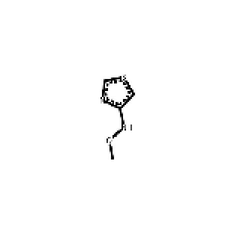 CONc1cscn1